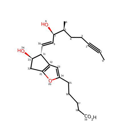 CC#CCC[C@H](C)[C@H](O)C=C[C@@H]1c2cc(CCCCC(=O)O)oc2C[C@H]1O